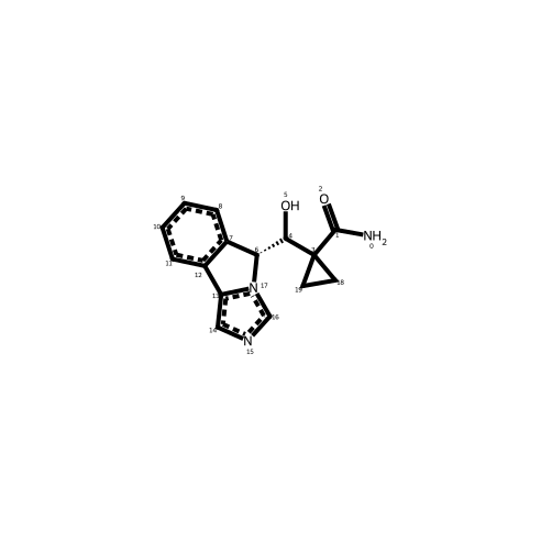 NC(=O)C1(C(O)[C@H]2c3ccccc3-c3cncn32)CC1